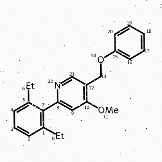 CCc1cccc(CC)c1-c1cc(OC)c(COc2ccccc2)cn1